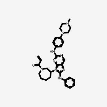 C=CC(=O)N1CCCCC(n2c(Nc3ccccc3)nc3cnc(Nc4ccc(N5CCN(C)CC5)cc4)nc32)C1